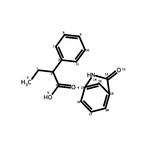 CCC(C(=O)O)c1ccccc1.O=C1Nc2cccc1c2